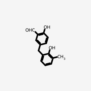 Cc1cccc(Cc2ccc(O)c(C=O)c2)c1O